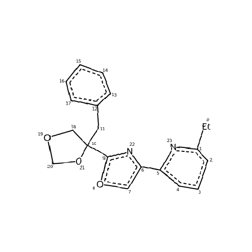 CCc1cccc(-c2coc(C3(Cc4ccccc4)COCO3)n2)n1